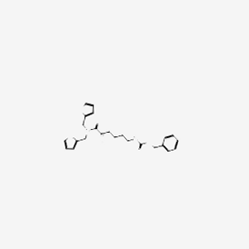 O=C(NCCCC[C@H](O)C(=O)N(Cc1cccs1)Cc1cccs1)OCc1ccccc1